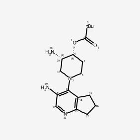 CC(C)(C)C(=O)O[C@@H]1CCN(c2c(N)cnc3c2CCC3)C[C@@H]1N